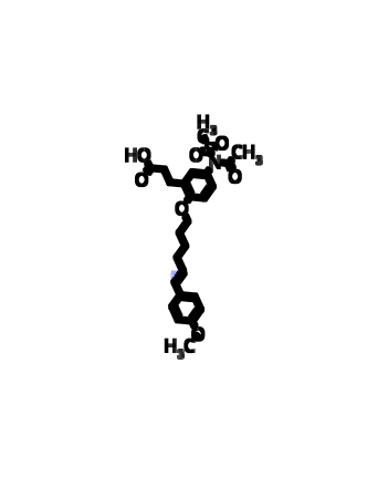 COc1ccc(/C=C/CCCCOc2ccc(N(C(C)=O)S(C)(=O)=O)cc2CCC(=O)O)cc1